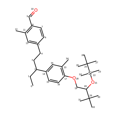 CCC(CCc1ccc(C=O)c(C)c1)c1ccc(OCC(O[Si](C)(C)C(C)(C)C)C(C)(C)C)c(C)c1